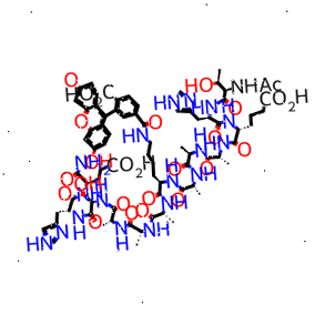 CC(=O)N[C@@H](C(=O)N[C@H](Cc1c[nH]cn1)C(=O)N[C@H](CCCC(=O)O)C(=O)N[C@H](C)C(=O)N[C@H](C)C(=O)N[C@H](C)C(=O)N[C@H](CCCCNC(=O)c1ccc(C(=O)O)c(-c2c3ccc(=O)cc-3oc3cc(O)ccc23)c1)C(=O)N[C@H](C)C(=O)N[C@H](C)C(=O)N[C@H](C)C(=O)N[C@@H](C(=O)N[C@H](Cc1c[nH]cn1)C(=O)N[C@H](CCC(=O)O)C(N)=O)[C@H](C)O)[C@H](C)O